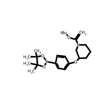 C=C(OC(C)(C)C)N1CCCC(Oc2ccc(B3OC(C)(C)C(C)(C)O3)cc2)C1